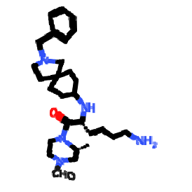 C[C@@H]1CN(C=O)CCN1C(=O)[C@@H](CCCCN)NC1CCC2(CC1)CCN(Cc1ccccc1)C2